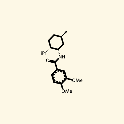 COc1ccc(C(=O)N[C@H]2C[C@H](C)CC[C@H]2C(C)C)cc1OC